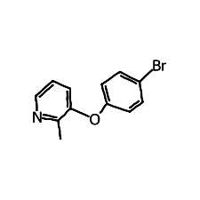 Cc1ncccc1Oc1ccc(Br)cc1